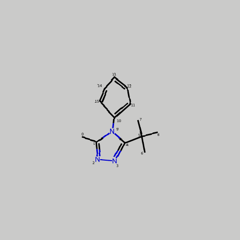 Cc1nnc(C(C)(C)C)n1-c1ccccc1